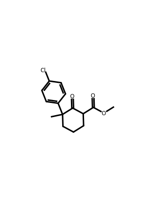 COC(=O)C1CCCC(C)(c2ccc(Cl)cc2)C1=O